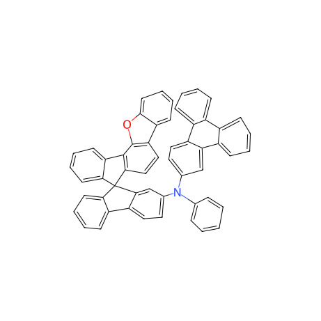 c1ccc(N(c2ccc3c(c2)C2(c4ccccc4-3)c3ccccc3-c3c2ccc2c3oc3ccccc32)c2ccc3c4ccccc4c4ccccc4c3c2)cc1